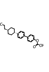 CCC[C@H]1CC[C@H](c2ccc(-c3ccc(OC(=O)O)cc3)cc2)CC1